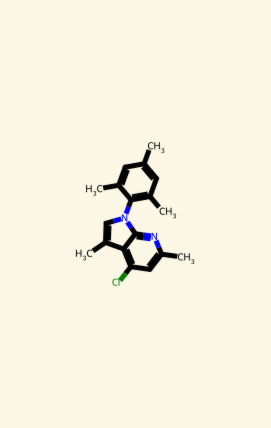 Cc1cc(C)c(-n2cc(C)c3c(Cl)cc(C)nc32)c(C)c1